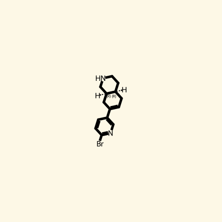 Brc1ccc(C2=CC[C@@H]3CCNC[C@@H]3C2)cn1